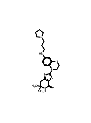 CC1(C)Cc2nc(N3CCOc4cc(NCCCN5CCCC5)ccc43)sc2C(=O)N1